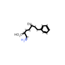 CCC(CCc1ccccc1)CCC(CN)C(=O)O